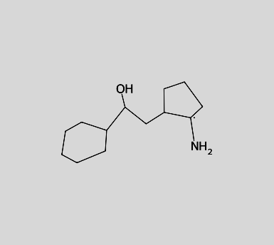 N[C]1CCCC1CC(O)C1CCCCC1